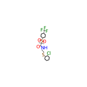 CC(C)(C(=O)NCCSc1ccccc1Cl)S(=O)(=O)c1ccc(C(F)(F)F)cc1